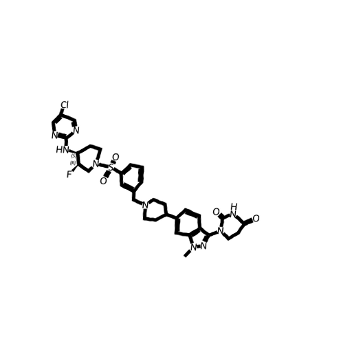 Cn1nc(N2CCC(=O)NC2=O)c2ccc(C3CCN(Cc4cccc(S(=O)(=O)N5CC[C@H](Nc6ncc(Cl)cn6)[C@H](F)C5)c4)CC3)cc21